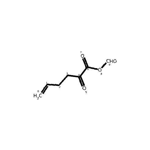 C=CCCC(=O)C(=O)OC=O